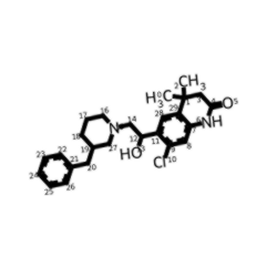 CC1(C)CC(=O)Nc2cc(Cl)c(C(O)CN3CCCC(Cc4ccccc4)C3)cc21